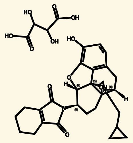 O=C(O)C(O)C(O)C(=O)O.O=C1C2=C(CCCC2)C(=O)N1[C@@H]1CCC2(O)[C@H]3Cc4ccc(O)c5c4[C@@]2(CCN3CC2CC2)[C@H]1O5